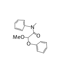 COC(Oc1ccccc1)C(=O)N(C)c1ccccc1